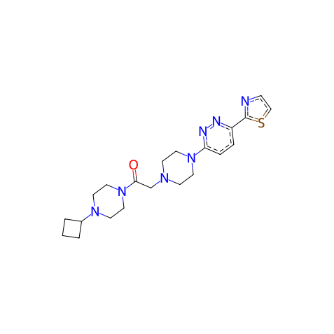 O=C(CN1CCN(c2ccc(-c3nccs3)nn2)CC1)N1CCN(C2CCC2)CC1